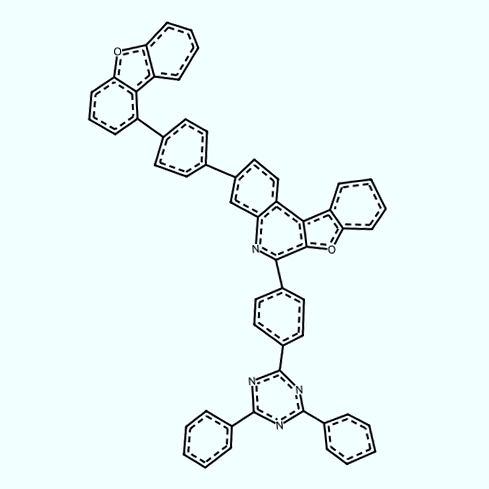 c1ccc(-c2nc(-c3ccccc3)nc(-c3ccc(-c4nc5cc(-c6ccc(-c7cccc8oc9ccccc9c78)cc6)ccc5c5c4oc4ccccc45)cc3)n2)cc1